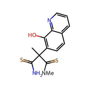 CNC(=S)C(C)(C(N)=S)c1ccc2cccnc2c1O